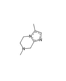 Cc1cnc2n1CCN(C)C2